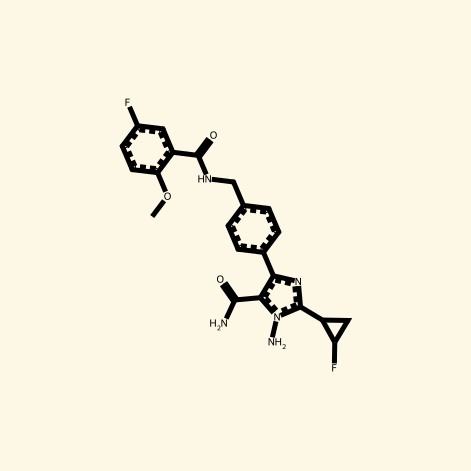 COc1ccc(F)cc1C(=O)NCc1ccc(-c2nc(C3CC3F)n(N)c2C(N)=O)cc1